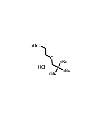 CCCCCCCCCCCCOC[P](CCCC)(CCCC)CCCC.Cl